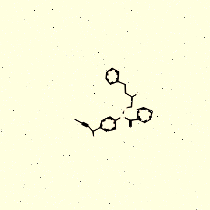 CCOC(=O)C#CC(O)c1ccc(N(OCC(CCc2ccccc2)[N+](=O)[O-])C(=O)c2ccccc2)cc1